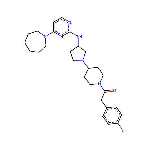 O=C(Cc1ccc(Cl)cc1)N1CCC(N2CCC(Nc3nccc(N4CCCCCC4)n3)C2)CC1